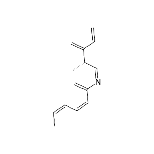 C=CC(=C)[C@@H](C)/C=N\C(=C)/C=C\C=C/C